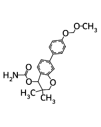 COCOc1ccc(-c2ccc3c(c2)OCC(C)(C)C3OC(N)=O)cc1